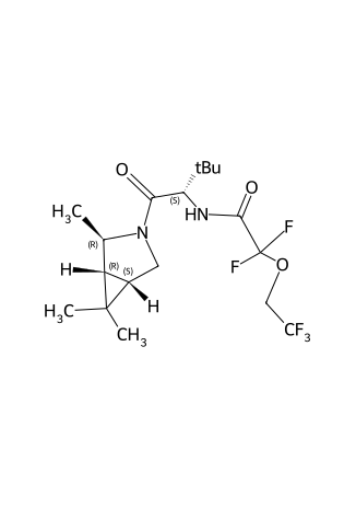 C[C@@H]1[C@@H]2[C@H](CN1C(=O)[C@@H](NC(=O)C(F)(F)OCC(F)(F)F)C(C)(C)C)C2(C)C